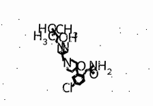 CC(C)(O)[C@H](O)Cn1cc(CN2CCC3(CC2)OC(C(N)=O)c2ccc(Cl)cc23)cn1